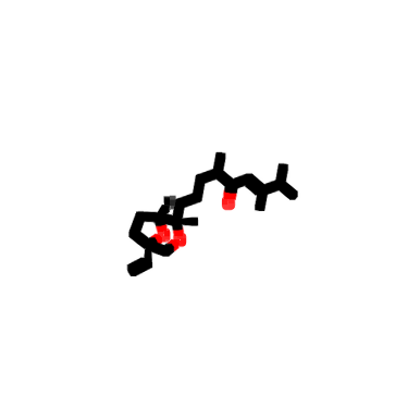 C=C[C@@]12CC[C@@H](O1)[C@](C)(CCCC(C)C(=O)/C=C(\C)C(C)C)OC2